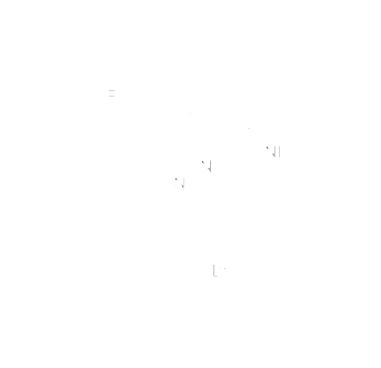 Cc1ccc(F)cc1N1Cc2c(Br)ccc3c2N1C(=O)C(C)(C)N3